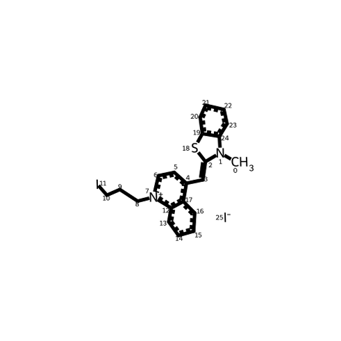 CN1/C(=C/c2cc[n+](CCCI)c3ccccc23)Sc2ccccc21.[I-]